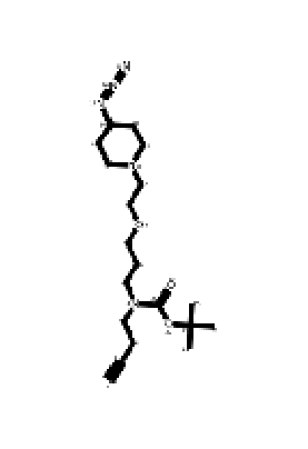 C#CCCN(CCCOCCN1CCC(N=[N+]=[N-])CC1)C(=O)OC(C)(C)C